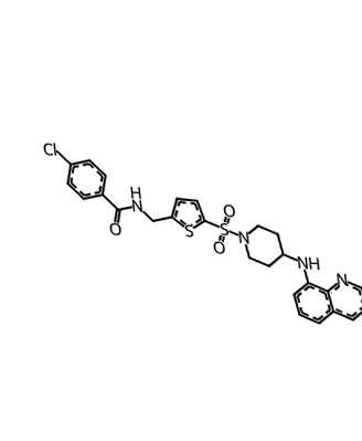 O=C(NCc1ccc(S(=O)(=O)N2CCC(Nc3cccc4cccnc34)CC2)s1)c1ccc(Cl)cc1